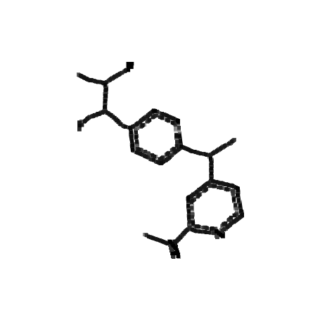 CNc1cc(C(C)c2ccc(C(F)C(C)F)cc2)ccn1